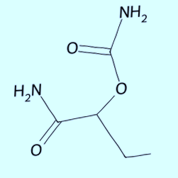 CCC(OC(N)=O)C(N)=O